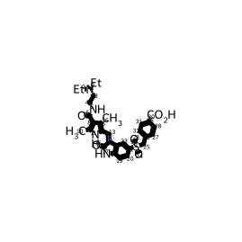 CCN(CC)CCNC(=O)c1c(C)[nH]c(/C=C2\C(=O)Nc3ccc(S(=O)(=O)Cc4ccc(C(=O)O)cc4)cc32)c1C